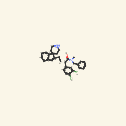 CN(Cc1ccccc1)C(=O)[C@@H](CCC1=Cc2ccccc2C12CCNCC2)c1ccc(Cl)c(Cl)c1